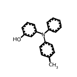 Cc1ccc(N(c2ccccc2)c2cccc(O)c2)cc1